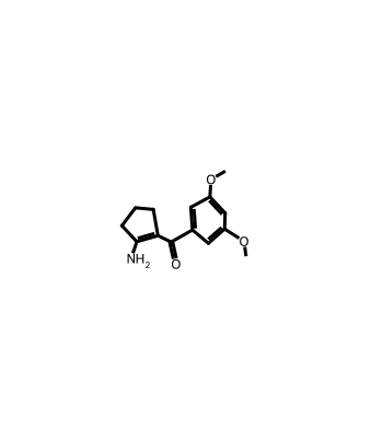 COc1cc(OC)cc(C(=O)C2=C(N)CCC2)c1